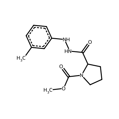 COC(=O)N1CCCC1C(=O)NNc1cccc(C)c1